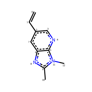 C=Cc1cnc2c(c1)nc(C)n2C